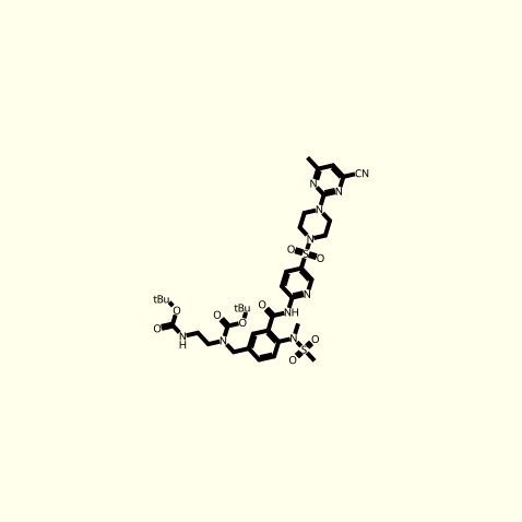 Cc1cc(C#N)nc(N2CCN(S(=O)(=O)c3ccc(NC(=O)c4cc(CN(CCNC(=O)OC(C)(C)C)C(=O)OC(C)(C)C)ccc4N(C)S(C)(=O)=O)nc3)CC2)n1